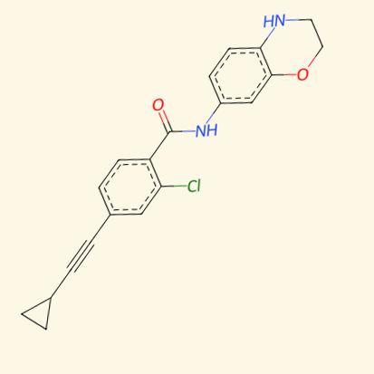 O=C(Nc1ccc2c(c1)OCCN2)c1ccc(C#CC2CC2)cc1Cl